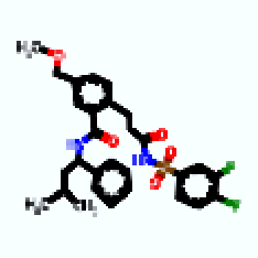 COCc1ccc(CCC(=O)NS(=O)(=O)c2ccc(F)c(F)c2)c(C(=O)NC(CC(C)C)c2ccccc2)c1